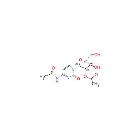 CC(=O)Nc1ccn([C@@H]2O[C@H](CO)[C@@H](O)[C@@H]2OC(C)=O)c(=O)n1